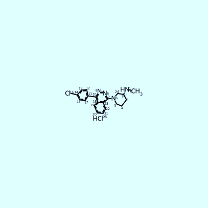 CN[C@@H]1CCCN(c2nnc(-c3ccc(Cl)cc3)c3ccccc23)C1.Cl